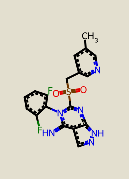 Cc1cncc(CS(=O)(=O)c2nc3[nH]ncc3c(=N)n2-c2c(F)cccc2F)c1